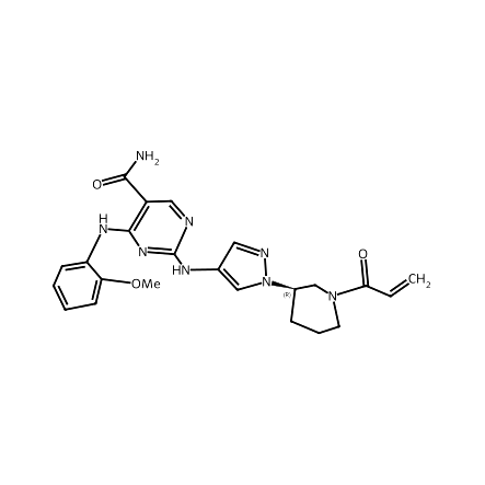 C=CC(=O)N1CCC[C@@H](n2cc(Nc3ncc(C(N)=O)c(Nc4ccccc4OC)n3)cn2)C1